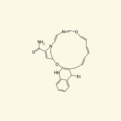 [CH]CC1C2=C(Nc3ccccc31)OC1C=C(C(N)=O)N(/C=C/N=C\O/C=C/C=C/C=C/C2)C1